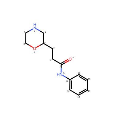 O=C(CCC1CNCCO1)Nc1ccccc1